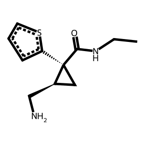 CCNC(=O)[C@@]1(c2cccs2)C[C@H]1CN